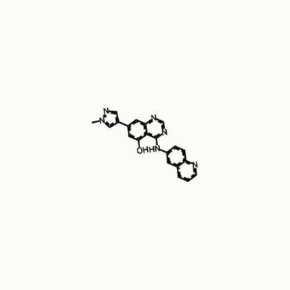 Cn1cc(-c2cc(O)c3c(Nc4ccc5ncccc5c4)ncnc3c2)cn1